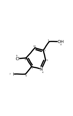 OCc1cnc(CI)c(Cl)c1